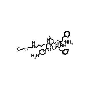 COCCOCCNCCCC[C@@H](NC(=O)[C@@H](CC(C)C)NC(=O)[C@@H](Cc1ccccc1)NC(=O)[C@H](N)Cc1ccccc1)C(=O)N1CCC(N)CC1